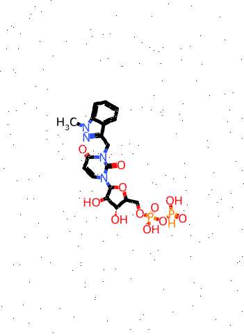 Cn1nc(Cn2c(=O)ccn(C3OC(COP(=O)(O)O[PH](=O)O)[C@H](O)C3O)c2=O)c2ccccc21